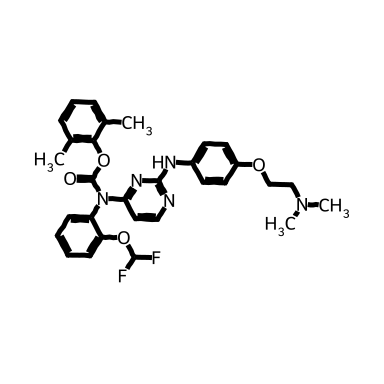 Cc1cccc(C)c1OC(=O)N(c1ccnc(Nc2ccc(OCCN(C)C)cc2)n1)c1ccccc1OC(F)F